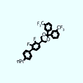 CCCc1ccc(-c2ccc(C3COC(c4cccc(C(F)(F)F)c4)(c4cccc(C(F)(F)F)c4)OC3)c(F)c2F)cc1